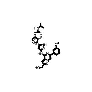 COc1cccc(-c2cn3nc(CO)cc3c(Nc3cc([C@H]4OC[C@@H](OC(=O)NC(C)C)[C@@H]4F)[nH]n3)n2)c1